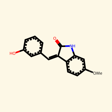 COc1ccc2c(c1)NC(=O)C2=Cc1cccc(O)c1